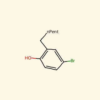 CCCCCCc1cc(Br)ccc1O